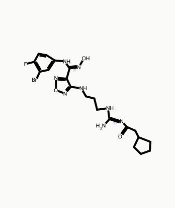 N/C(=N\C(=O)CC1CCCC1)NCCCNc1nonc1/C(=N/O)Nc1ccc(F)c(Br)c1